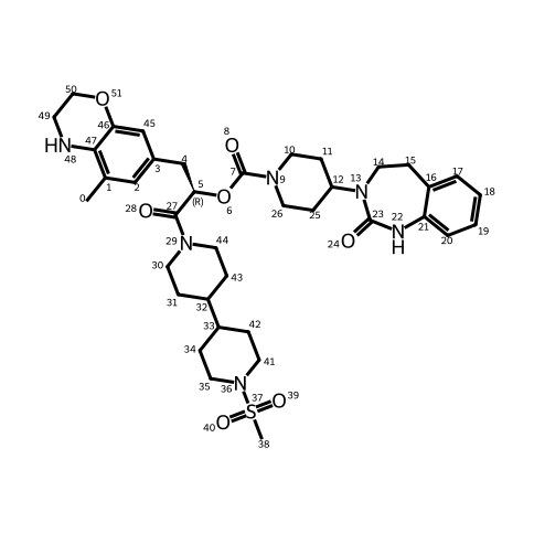 Cc1cc(C[C@@H](OC(=O)N2CCC(N3CCc4ccccc4NC3=O)CC2)C(=O)N2CCC(C3CCN(S(C)(=O)=O)CC3)CC2)cc2c1NCCO2